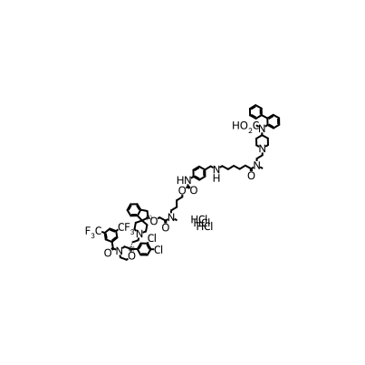 CN(CCN1CCC(N(C(=O)O)c2ccccc2-c2ccccc2)CC1)C(=O)CCCCCNCc1ccc(NC(=O)OCCCCN(C)C(=O)CO[C@H]2Cc3ccccc3C23CCN(CC[C@@]2(c4ccc(Cl)c(Cl)c4)CN(C(=O)c4cc(C(F)(F)F)cc(C(F)(F)F)c4)CCO2)CC3)cc1.Cl.Cl.Cl